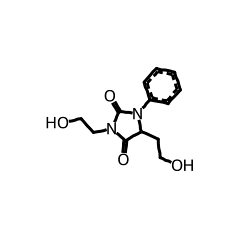 O=C1C(CCO)N(c2ccccc2)C(=O)N1CCO